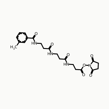 Cc1cccc(C(=O)NCCC(=O)NCCC(=O)NCCC(=O)ON2C(=O)CCC2=O)c1